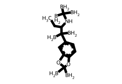 BC(B)(B)NC(CC)C(B)(B)c1ccc2c(c1)OC(B)(B)O2